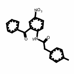 Cc1ccc(CC(=O)Nc2ccc([N+](=O)[O-])cc2C(=O)c2ccccc2)cc1